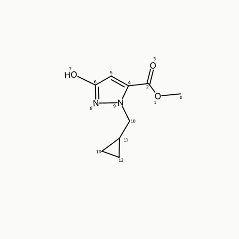 COC(=O)c1cc(O)nn1CC1CC1